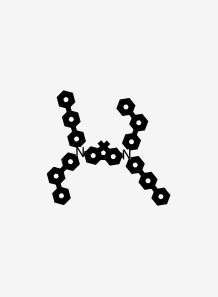 CC1(C)c2cc(N(c3ccc(-c4ccc(-c5ccccc5)cc4)cc3)c3ccc(-c4cccc(-c5ccccc5)c4)cc3)ccc2-c2ccc(N(c3ccc(-c4ccc(-c5ccccc5)cc4)cc3)c3ccc(-c4cccc(-c5ccccc5)c4)cc3)cc21